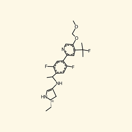 CC[C@H]1CC(NC(C)c2cc(F)c(-c3cc(C(C)(C)F)c(OCOC)cn3)cc2F)=CN1